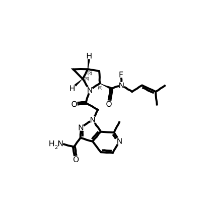 CC(C)=CCN(F)C(=O)[C@@H]1C[C@H]2C[C@H]2N1C(=O)Cn1nc(C(N)=O)c2ccnc(C)c21